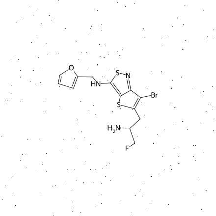 N[C@@H](CF)Cc1sc2c(NCc3ccco3)snc2c1Br